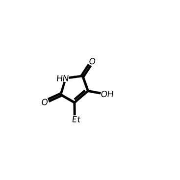 CCC1=C(O)C(=O)NC1=O